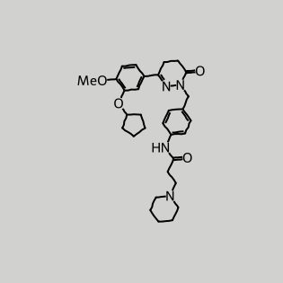 COc1ccc(C2=NN(Cc3ccc(NC(=O)CCN4CCCCC4)cc3)C(=O)CC2)cc1OC1CCCC1